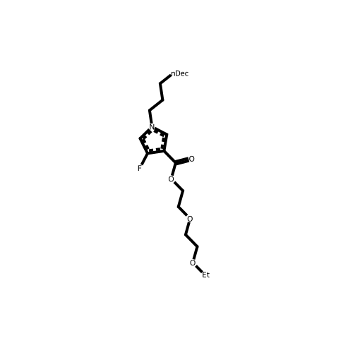 CCCCCCCCCCCCCn1cc(F)c(C(=O)OCCOCCOCC)c1